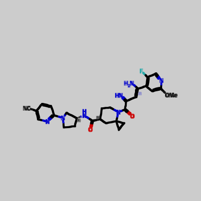 COc1cc(/C(N)=C/C(=N)C(=O)N2CC[C@H](C(=O)N[C@@H]3CCN(c4ccc(C#N)cn4)C3)CC23CC3)c(F)cn1